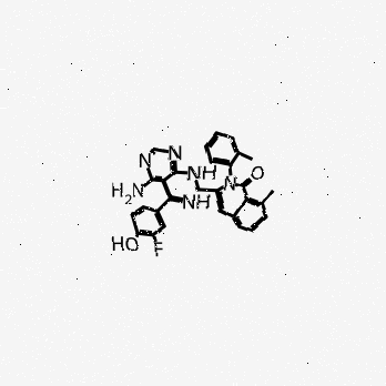 Cc1ccccc1-n1c(CNc2ncnc(N)c2C(=N)c2ccc(O)c(F)c2)cc2cccc(C)c2c1=O